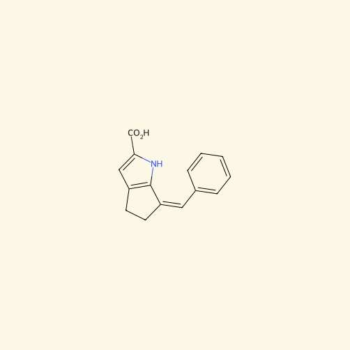 O=C(O)c1cc2c([nH]1)/C(=C\c1ccccc1)CC2